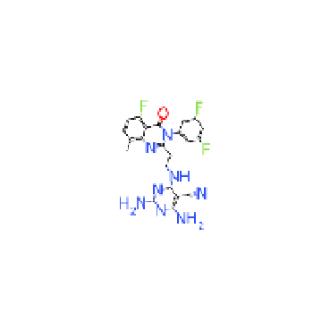 Cc1ccc(F)c2c(=O)n(-c3cc(F)cc(F)c3)c(CCNc3nc(N)nc(N)c3C#N)nc12